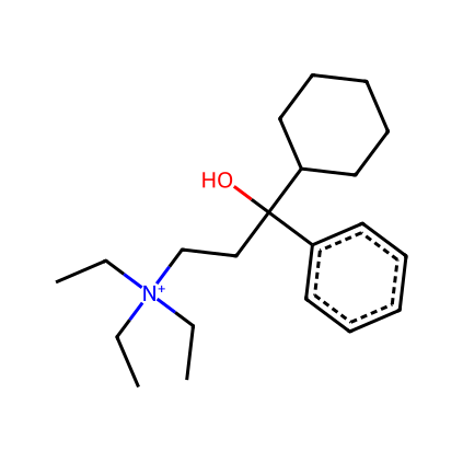 CC[N+](CC)(CC)CCC(O)(c1ccccc1)C1CCCCC1